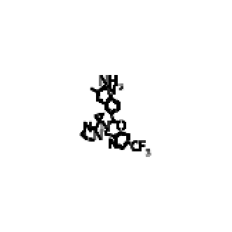 Cc1cc2cc(C(=O)N(Cc3ccc(C(F)(F)F)cn3)C3(c4ncccn4)CC3)ccc2nc1N